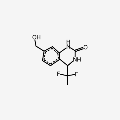 CC(F)(F)C1NC(=O)Nc2cc(CO)ccc21